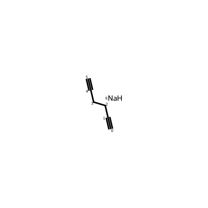 C#CCCC#C.[NaH]